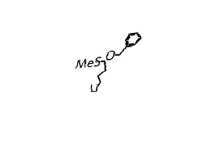 [Li][CH2]CCC(OCc1ccccc1)SC